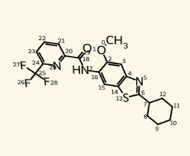 COc1cc2nc(C3CCCCC3)sc2cc1NC(=O)c1cccc(C(F)(F)F)n1